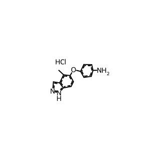 Cc1c(Oc2ccc(N)cc2)ccc2[nH]ncc12.Cl